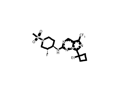 CCC1(c2nc(C(F)(F)F)c3cnc(N[C@@H]4CCN(S(C)(=O)=O)C[C@H]4F)nn23)CCC1